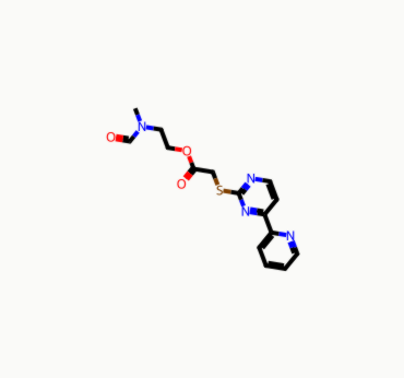 CN(C=O)CCOC(=O)CSc1nccc(-c2ccccn2)n1